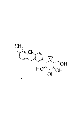 CCc1ccc(Cc2cc([C@H]3[C@H](O)[C@@H](O)[C@H](O)[C@@H](CO)C34CC4)ccc2Cl)cc1